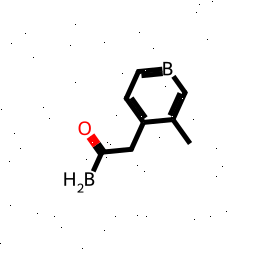 BC(=O)Cc1ccbcc1C